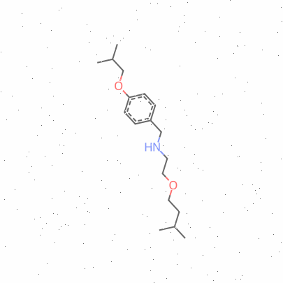 CC(C)CCOCCNCc1ccc(OCC(C)C)cc1